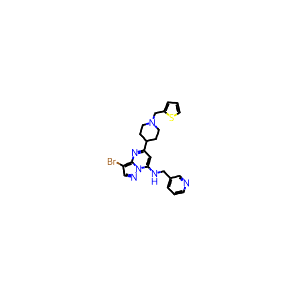 Brc1cnn2c(NCc3cccnc3)cc(C3CCN(Cc4cccs4)CC3)nc12